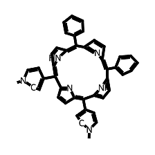 CN1C=CC(c2c3nc(c(C4=CCN(C)C=C4)c4ccc([nH]4)c(-c4ccccc4)c4nc(c(-c5ccccc5)c5ccc2[nH]5)C=C4)C=C3)=CC1